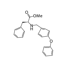 COC(=O)[C@H](Cc1ccccc1)NCc1ccc(Oc2ccccc2)cc1